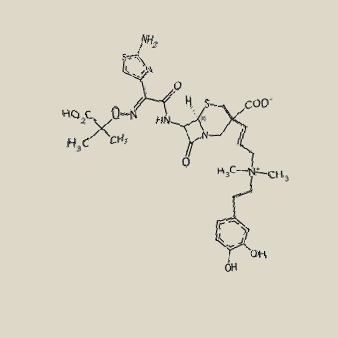 CC(C)(ON=C(C(=O)NC1C(=O)N2CC(C=CC[N+](C)(C)CCc3ccc(O)c(O)c3)(C(=O)[O-])CS[C@H]12)c1csc(N)n1)C(=O)O